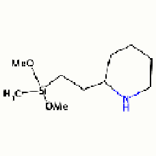 CO[Si](C)(CCC1CCCCN1)OC